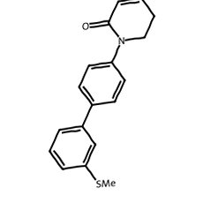 CSc1cccc(-c2ccc(N3CCC=CC3=O)cc2)c1